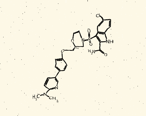 CN(C)c1ccc(-c2ccc(OC[C@@H]3CN(S(=O)(=O)c4c(C(N)=O)[nH]c5ccc(Cl)cc45)CCO3)cc2)cn1